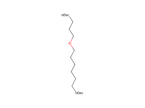 CCCCCCCCCCCCCCC[CH]OCCCCCCCCCCCCC